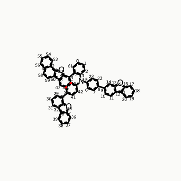 c1ccc(N(c2ccc(-c3ccc4c(c3)oc3ccccc34)cc2)c2ccc(-c3cccc4c3oc3ccccc34)cc2)c(-c2cccc3c2oc2c4ccccc4ccc32)c1